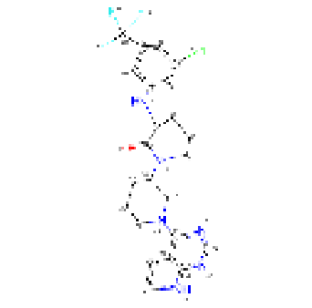 O=C1C(Nc2cc(Cl)cc(C(F)(F)F)c2)CCCN1C1CCCN(c2ncnc3[nH]ccc23)C1